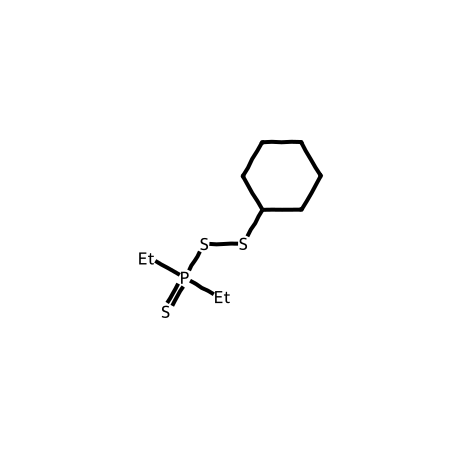 CCP(=S)(CC)SSC1CCCCC1